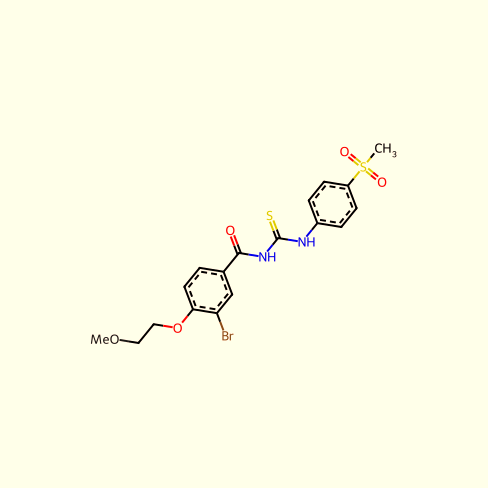 COCCOc1ccc(C(=O)NC(=S)Nc2ccc(S(C)(=O)=O)cc2)cc1Br